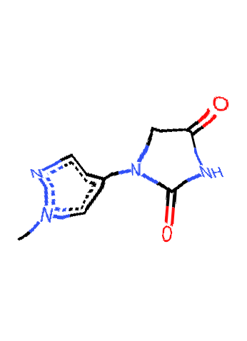 Cn1cc(N2CC(=O)NC2=O)cn1